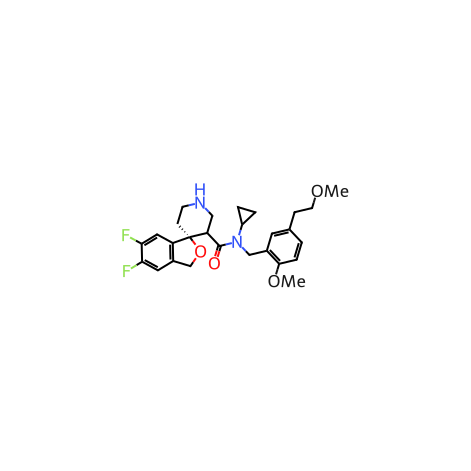 COCCc1ccc(OC)c(CN(C(=O)C2CNCC[C@@]23OCc2cc(F)c(F)cc23)C2CC2)c1